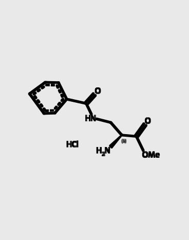 COC(=O)[C@@H](N)CNC(=O)c1ccccc1.Cl